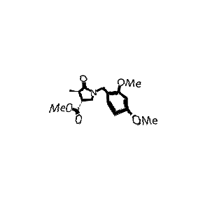 COC(=O)[C@H]1CN(Cc2ccc(OC)cc2OC)C(=O)[C@@H]1C